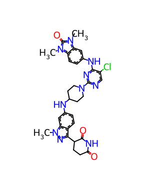 Cn1nc(C2CCC(=O)NC2=O)c2ccc(NC3CCN(c4ncc(Cl)c(Nc5ccc6c(c5)n(C)c(=O)n6C)n4)CC3)cc21